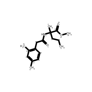 CCCC(C)(NC(=O)Cc1ccc(C)cc1C)C(=O)OC